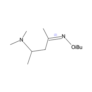 C/C(CC(C)N(C)C)=N/OCC(C)C